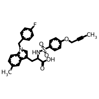 CC#CCOc1ccc(S(=O)(=O)NC(Cc2cn(Cc3ccc(F)cc3)c3ccc(C)cc23)C(=O)O)cc1